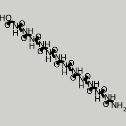 NCC(=O)NCC(=O)NCC(=O)NCC(=O)NCC(=O)NCC(=O)NCC(=O)NCC(=O)NCC(=O)NCC(=O)NCC(=O)NCC(=O)NCC(=O)O